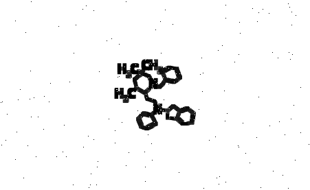 CC1CC(C)(C)CN(Cc2ccccc2)C1CCN(c1ccccc1)C1Cc2ccccc2C1